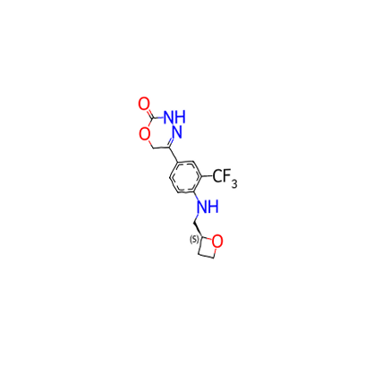 O=C1NN=C(c2ccc(NC[C@@H]3CCO3)c(C(F)(F)F)c2)CO1